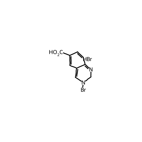 Br.O=C(O)c1ccc2c(c1)=CN(Br)CN=2